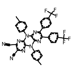 Cc1ccc(N2c3nc(C#N)c(C#N)nc3N(c3ccc(C)cc3)c3nc(-c4ccc(C(F)(F)F)cc4)c(-c4ccc(C(F)(F)F)cc4)nc32)cc1